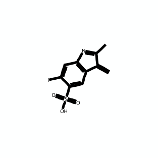 C=C1C(C)=Nc2cc(I)c(S(=O)(=O)O)cc21